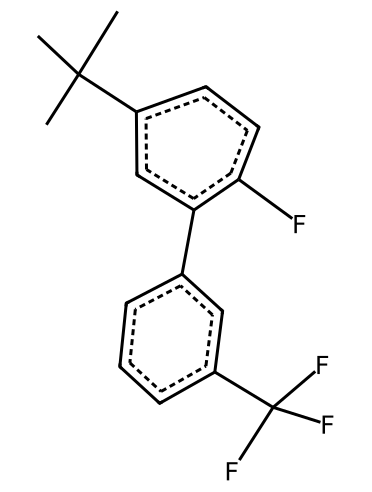 CC(C)(C)c1ccc(F)c(-c2cccc(C(F)(F)F)c2)c1